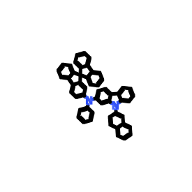 c1ccc(N(c2ccc3c(c2)C2(c4ccccc4-c4ccccc42)c2ccccc2-3)c2ccc3c4ccccc4n(-c4ccc5ccccc5c4)c3c2)cc1